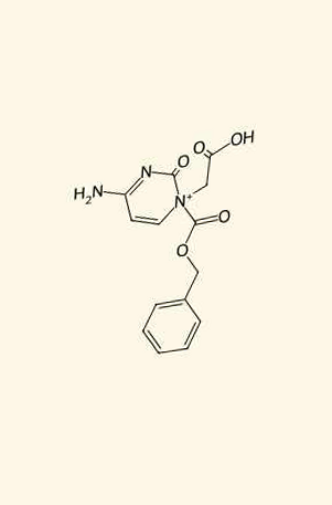 NC1=NC(=O)[N+](CC(=O)O)(C(=O)OCc2ccccc2)C=C1